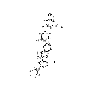 CCOc1ncc(N2CCOCC2)cc1S(=O)(=O)Nc1ccnc(-c2ccc(CN3C[C@@H](C)O[C@@H](C)C3)cc2F)c1